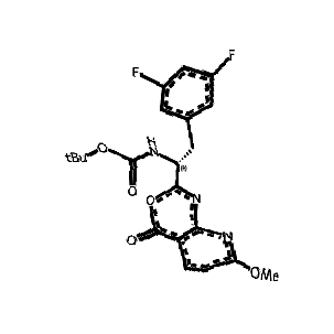 COc1ccc2c(=O)oc([C@@H](Cc3cc(F)cc(F)c3)NC(=O)OC(C)(C)C)nc2n1